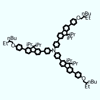 CCCCC(CC)COc1ccc(-c2ccc3c(c2)C(C(C)C)(C(C)C)c2cc(-c4ccc(N(c5ccc(-c6ccc7c(c6)C(C(C)C)(C(C)C)c6cc(-c8ccc(OCC(CC)CCCC)cc8)ccc6-7)cc5)c5ccc(-c6ccc7c(c6)C(C(C)C)(C(C)C)c6cc(-c8ccc(OCC(CC)CCCC)cc8)ccc6-7)cc5)cc4)ccc2-3)cc1